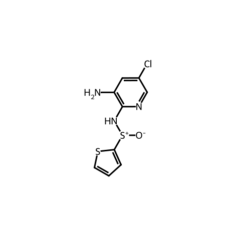 Nc1cc(Cl)cnc1N[S+]([O-])c1cccs1